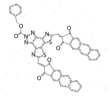 O=C1C(=Cc2nc3c4nn(C(=O)OCc5ccccc5)nc4c4nc(C=C5C(=O)c6cc7cc8ccccc8cc7cc6C5=O)sc4c3s2)C(=O)c2cc3cc4ccccc4cc3cc21